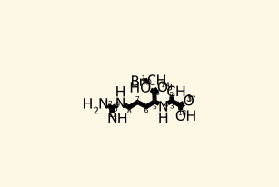 CBr.CC(NC(CCCNC(=N)N)C(=O)O)C(=O)O